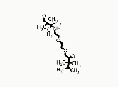 CC(C)C(C)(C)C(=O)COCCOCCNC(C)(C)C(C)(C)C=O